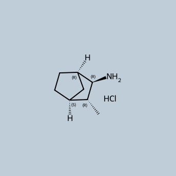 C[C@@H]1[C@H]2CC[C@H](C2)[C@H]1N.Cl